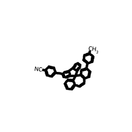 Cc1ccc(-c2ccc3c(c2)C2(c4ccccc4C=C3)c3ccccc3-c3cc(-c4ccc(C#N)cc4)ccc32)cc1